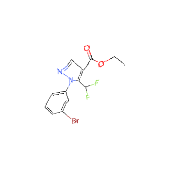 CCOC(=O)c1cnn(-c2cccc(Br)c2)c1C(F)F